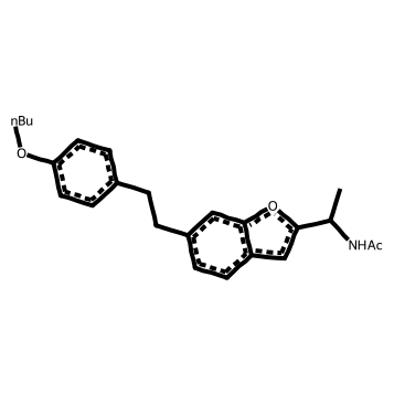 CCCCOc1ccc(CCc2ccc3cc(C(C)NC(C)=O)oc3c2)cc1